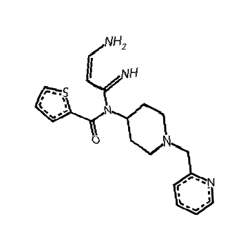 N=C(/C=C\N)N(C(=O)c1cccs1)C1CCN(Cc2ccccn2)CC1